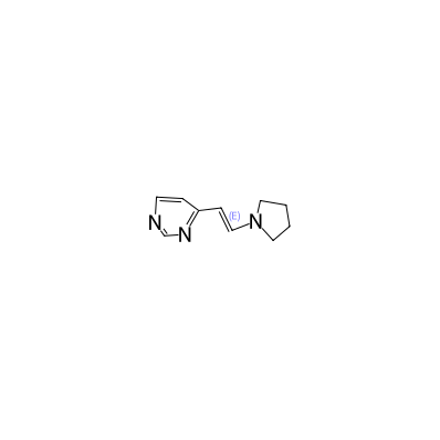 C(=C\N1CCCC1)/c1ccncn1